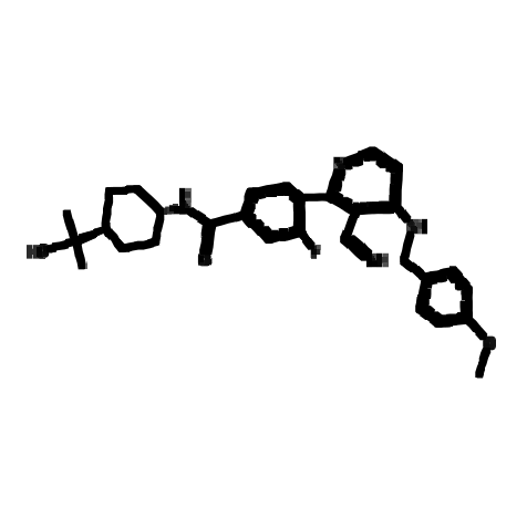 COc1ccc(CNc2ccnc(-c3ccc(C(=O)N[C@H]4CC[C@H](C(C)(C)O)CC4)cc3F)c2C=N)cc1